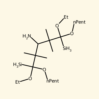 CCCCCOC([SiH3])(OCC)C(C)(C)C(N)C(C)(C)C([SiH3])(OCC)OCCCCC